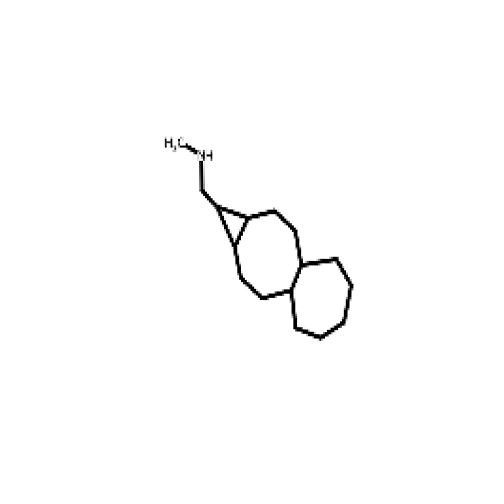 CNCC1C2CCC3CCCCCC3CCC21